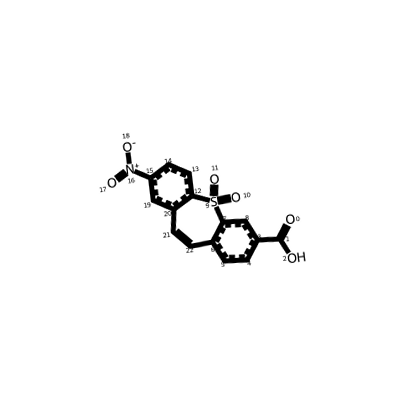 O=C(O)c1ccc2c(c1)S(=O)(=O)c1ccc([N+](=O)[O-])cc1C=C2